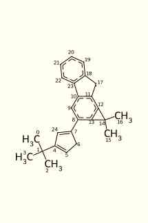 CC(C)(C)C1=CCC(c2cc3c(c4c2C4(C)C)[CH]c2ccccc2-3)=C1